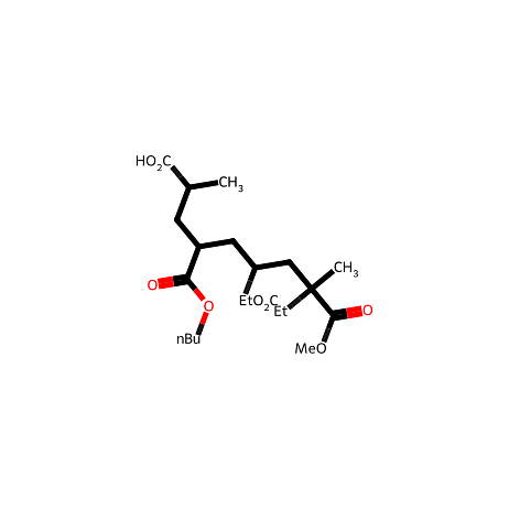 CCCCOC(=O)C(CC(C)C(=O)O)CC(CC(C)(CC)C(=O)OC)C(=O)OCC